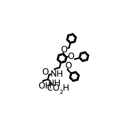 O=C(O)NC(CO)C(=O)NCCc1ccc(OCc2ccccc2)c(OCc2ccccc2)c1OCc1ccccc1